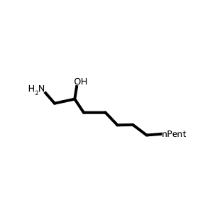 CCCCCCCCCCC(O)CN